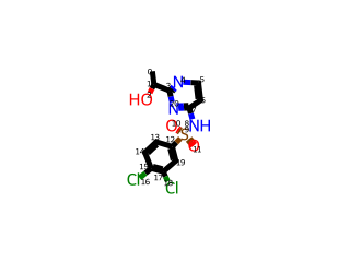 CC(O)c1nccc(NS(=O)(=O)c2ccc(Cl)c(Cl)c2)n1